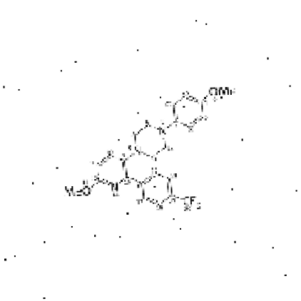 COc1ccc(N2CCN(c3ccc(OC)nc3-c3ccc(C(F)(F)F)cc3)CC2)cc1